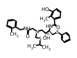 Cc1ccccc1CNC(=O)CN(CSC(C)C)C[C@@H](O)[C@H](CSc1ccccc1)NC(=O)c1cccc(O)c1C